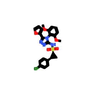 COc1cccc(OC)c1-n1c(NS(=O)(=O)[C@@H]2C[C@H]2c2ccc(Cl)cc2)nnc1-c1ccco1